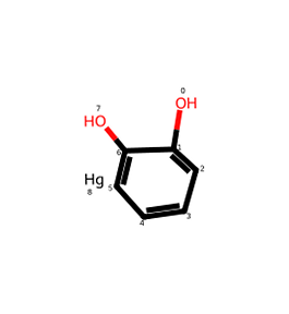 Oc1ccccc1O.[Hg]